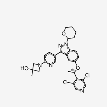 C[C@@H](Oc1ccc2c(c1)c(-c1ccc(N3CC(C)(O)C3)nc1)nn2C1CCCCO1)c1c(Cl)cncc1Cl